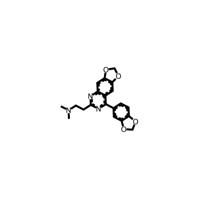 CN(C)CCc1nc(-c2ccc3c(c2)OCO3)c2cc3c(cc2n1)OCO3